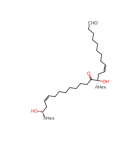 CCCCCC[C@@H](O)C/C=C\CCCCCCCC(=O)[C@](O)(C/C=C\CCCCCCC[C]=O)CCCCCC